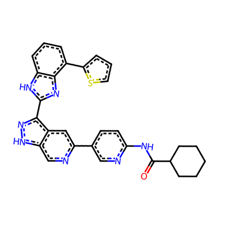 O=C(Nc1ccc(-c2cc3c(-c4nc5c(-c6cccs6)cccc5[nH]4)n[nH]c3cn2)cn1)C1CCCCC1